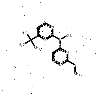 CSc1nccc(N(C)c2nccc(C(C)(C)C)n2)n1